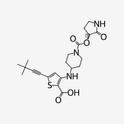 CC(C)(C)C#Cc1cc(NC2CCN(C(=O)O[C@H]3CCNC3=O)CC2)c(C(=O)O)s1